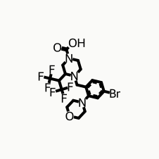 O=C(O)N1CCN(Cc2ccc(Br)cc2N2CCOCC2)C(C(C(F)(F)F)C(F)(F)F)C1